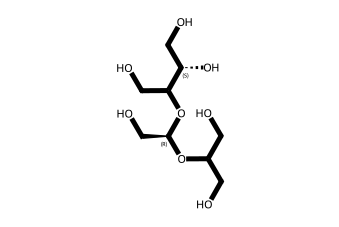 OCC(CO)O[C@@H](CO)OC(CO)[C@@H](O)CO